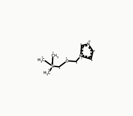 C[Si](C)(C)COCn1ccnc1